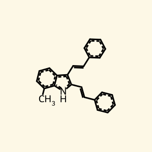 Cc1cccc2c(/C=C/c3ccccc3)c(/C=C/c3ccccc3)[nH]c12